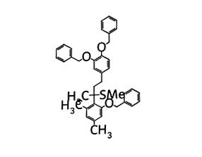 CSC(C)(CCc1ccc(OCc2ccccc2)c(OCc2ccccc2)c1)c1c(C)cc(C)cc1OCc1ccccc1